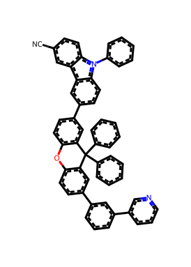 N#Cc1ccc2c(c1)c1cc(-c3ccc4c(c3)C(c3ccccc3)(c3ccccc3)c3cc(-c5cccc(-c6cccnc6)c5)ccc3O4)ccc1n2-c1ccccc1